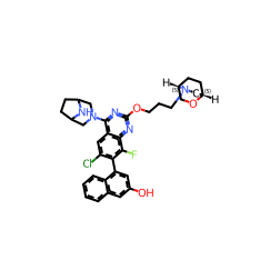 Oc1cc(-c2c(Cl)cc3c(N4CC5CCC(C4)N5)nc(OCCCN4C[C@@H]5CC[C@H]4CO5)nc3c2F)c2ccccc2c1